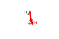 CC/C=C/C/C=C/C/C=C/C/C=C/C/C=C/C/C=C/CCC(=O)Oc1ccc(/C=C/c2cc(O)cc(O)c2)cc1